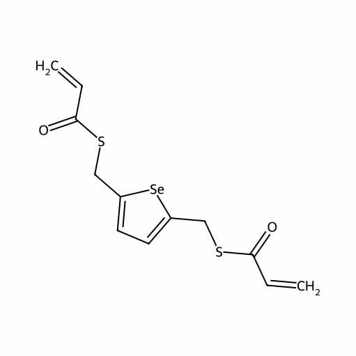 C=CC(=O)SCc1ccc(CSC(=O)C=C)[se]1